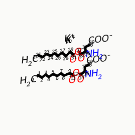 C=CCCCCCCCCC(=O)OC(=O)C(N)CCC(=O)[O-].C=CCCCCCCCCC(=O)OC(=O)C(N)CCC(=O)[O-].[K+].[K+]